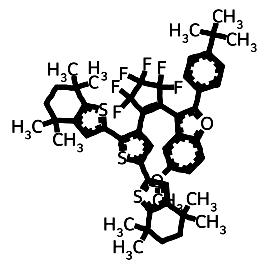 COc1ccc2oc(-c3ccc(C(C)(C)C)cc3)c(C3=C(c4cc(-c5cc6c(s5)C(C)(C)CCC6(C)C)sc4-c4cc5c(s4)C(C)(C)CCC5(C)C)C(F)(F)C(F)(F)C3(F)F)c2c1